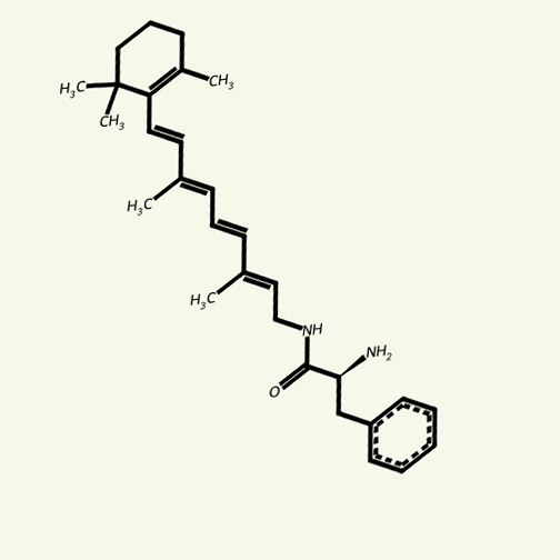 CC1=C(/C=C/C(C)=C/C=C/C(C)=C/CNC(=O)[C@@H](N)Cc2ccccc2)C(C)(C)CCC1